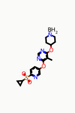 BN1CCC(Oc2ncnc(Oc3ccc(S(=O)(=O)C4CC4)nc3)c2C)CC1